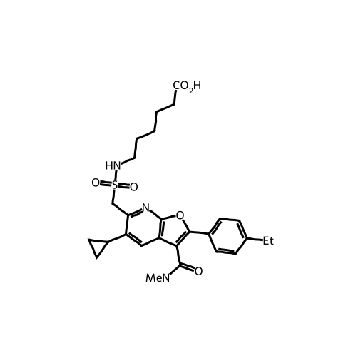 CCc1ccc(-c2oc3nc(CS(=O)(=O)NCCCCCC(=O)O)c(C4CC4)cc3c2C(=O)NC)cc1